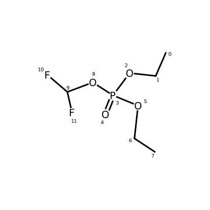 CCOP(=O)(OCC)OC(F)F